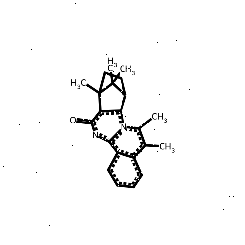 Cc1c(C)n2c3c(c(=O)nc2c2ccccc12)C1(C)CCC3C1(C)C